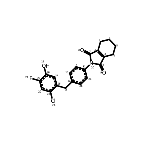 O=C1C2=C(CCCC2)C(=O)N1c1ccc(Cc2cc(O)c(F)cc2Cl)cc1